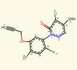 C#CCOc1cc(-n2ncc(SC)c(Cl)c2=O)c(F)cc1Cl